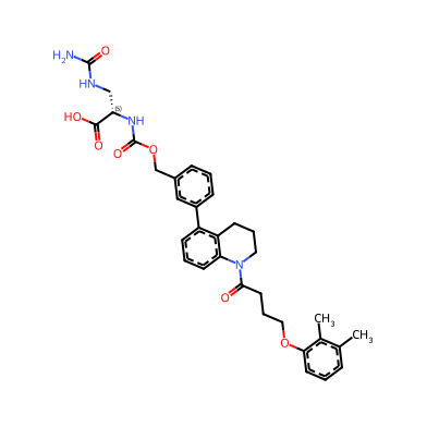 Cc1cccc(OCCCC(=O)N2CCCc3c(-c4cccc(COC(=O)N[C@@H](CNC(N)=O)C(=O)O)c4)cccc32)c1C